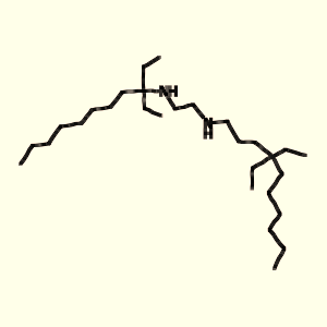 CCCCCCCCC(CC)(CC)NCCNCCCC(CC)(CC)CCCCCC